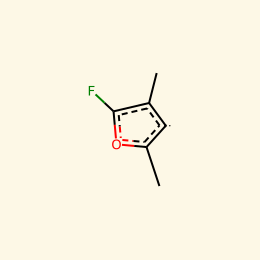 Cc1[c]c(C)c(F)o1